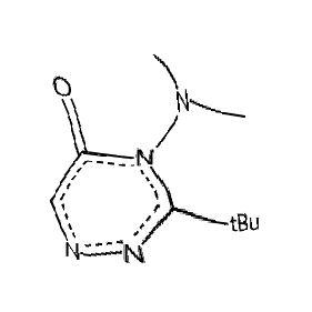 CN(C)n1c(C(C)(C)C)nncc1=O